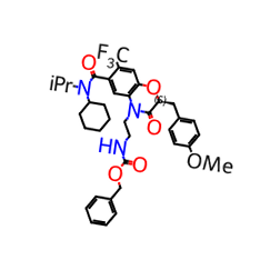 COc1ccc(C[C@@H]2Oc3cc(C(F)(F)F)c(C(=O)N(C(C)C)C4CCCCC4)cc3N(CCNC(=O)OCc3ccccc3)C2=O)cc1